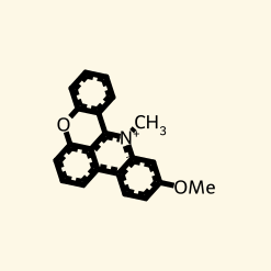 COc1ccc2c3cccc4c3c([n+](C)c2c1)-c1ccccc1O4